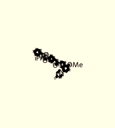 COc1ccc(N2CCN(C)CC2)c2c1CCN(C(=O)Cc1ccc(S(=O)(=O)N(Cc3ccccc3)C(C)C)cc1)C2